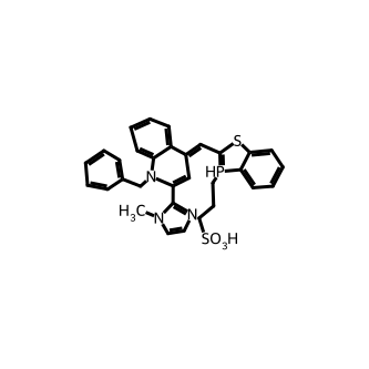 Cn1ccnc1C1=C/C(=C\C2=[PH](CCCS(=O)(=O)O)c3ccccc3S2)c2ccccc2N1Cc1ccccc1